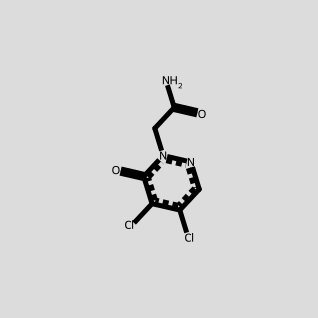 NC(=O)Cn1ncc(Cl)c(Cl)c1=O